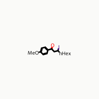 CCCCCCC(I)CC(=O)c1ccc(OC)cc1